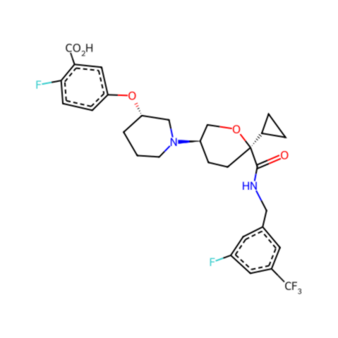 O=C(O)c1cc(O[C@H]2CCCN([C@@H]3CC[C@@](C(=O)NCc4cc(F)cc(C(F)(F)F)c4)(C4CC4)OC3)C2)ccc1F